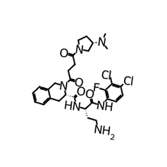 CN(C)[C@H]1CCN(C(=O)CCC(=O)N2Cc3ccccc3C[C@H]2C(=O)N[C@@H](CCN)C(=O)Nc2ccc(Cl)c(Cl)c2F)C1